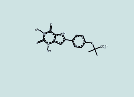 CCCn1c(=O)c2[nH]c(-c3ccc(OC(C)(C)C(=O)O)cc3)cc2n(CCC)c1=O